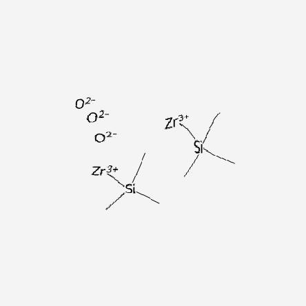 C[Si](C)(C)[Zr+3].C[Si](C)(C)[Zr+3].[O-2].[O-2].[O-2]